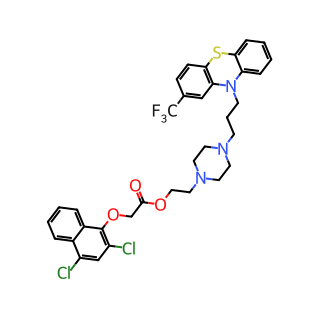 O=C(COc1c(Cl)cc(Cl)c2ccccc12)OCCN1CCN(CCCN2c3ccccc3Sc3ccc(C(F)(F)F)cc32)CC1